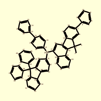 CC1(C)c2cc(-c3ccccc3)ccc2-c2cc(N(c3ccc(-c4ccccc4)cc3)c3ccc4c(c3)C(c3ccccc3)(c3ccccc3)c3ccccc3-4)c3ccccc3c21